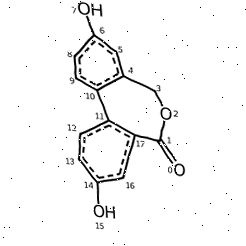 O=C1OCc2cc(O)ccc2-c2ccc(O)cc21